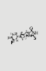 O=C1NC(=S)N/C1=C\c1ccc(-c2ccc(F)c(F)c2)s1